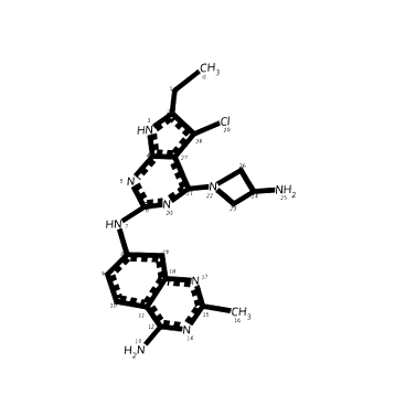 CCc1[nH]c2nc(Nc3ccc4c(N)nc(C)nc4c3)nc(N3CC(N)C3)c2c1Cl